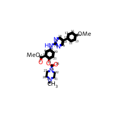 COC(=O)c1cc(Nc2ncc(-c3ccc(OC)cc3)cn2)ccc1OC(=O)N1CCN(C)CC1